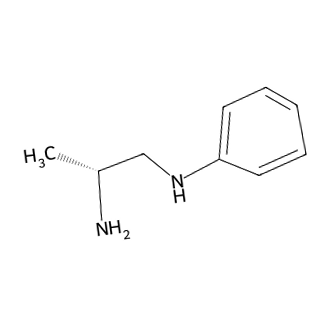 C[C@@H](N)CNc1ccccc1